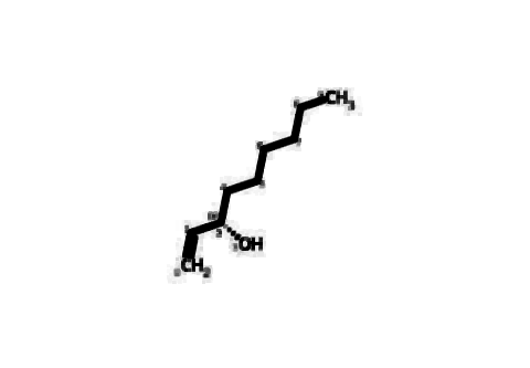 C=C[C@@H](O)CCCCCC